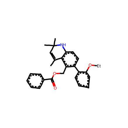 CCOc1ccccc1-c1ccc2c(c1COC(=O)c1ccccc1)C(C)=CC(C)(C)N2